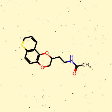 CC(=O)NCCC1COc2ccc3c(c2O1)C=CCS3